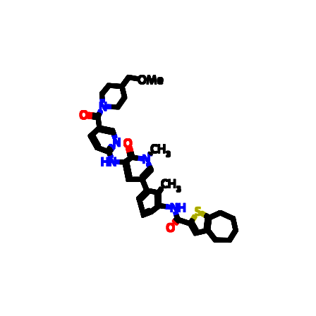 COCC1CCN(C(=O)c2ccc(Nc3cc(-c4cccc(NC(=O)c5cc6c(s5)CCCCC6)c4C)cn(C)c3=O)nc2)CC1